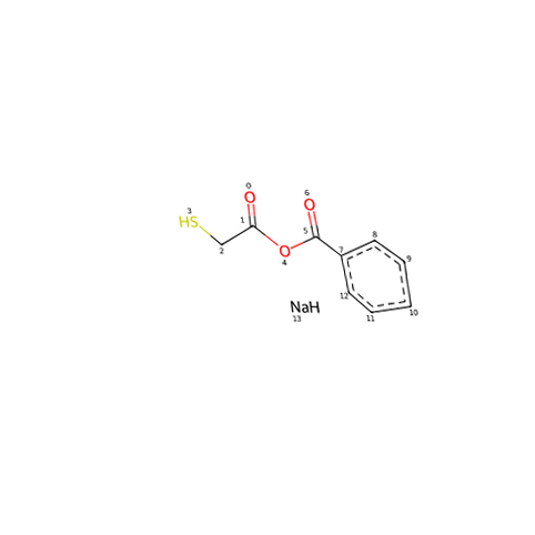 O=C(CS)OC(=O)c1ccccc1.[NaH]